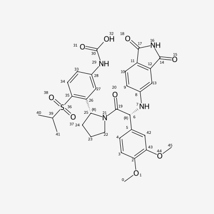 COc1ccc([C@@H](Nc2ccc3c(c2)C(=O)NC3=O)C(=O)N2CCC[C@@H]2c2cc(NC(=O)O)ccc2S(=O)(=O)C(C)C)cc1OC